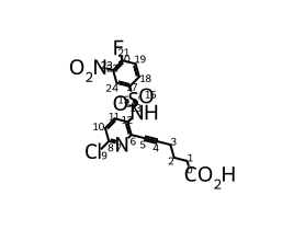 O=C(O)CCCC#Cc1nc(Cl)ccc1NS(=O)(=O)c1ccc(F)c([N+](=O)[O-])c1